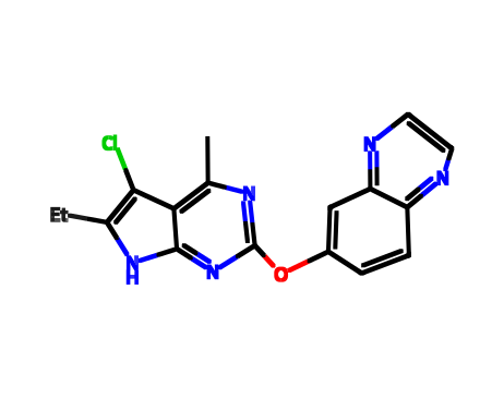 CCc1[nH]c2nc(Oc3ccc4nccnc4c3)nc(C)c2c1Cl